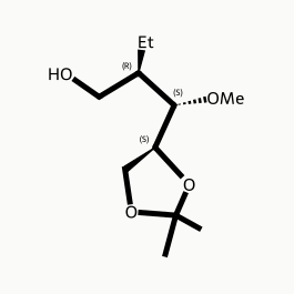 CC[C@H](CO)[C@H](OC)[C@@H]1COC(C)(C)O1